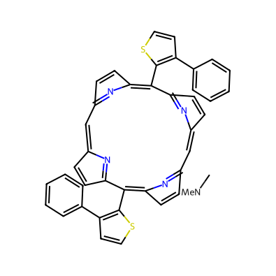 C1=CC2=NC1=CC1=NC(=C(c3sccc3-c3ccccc3)C3=NC(=CC4=NC(=C2c2sccc2-c2ccccc2)C=C4)C=C3)C=C1.CNC